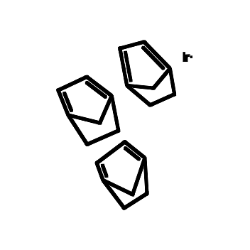 C1=C2CCC(=C1)C2.C1=C2CCC(=C1)C2.C1=C2CCC(=C1)C2.[Ir]